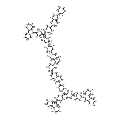 c1ccc(-c2ccc3cc(-c4ccc(N(c5ccc(-c6ccc(-c7ccc8c(-c9cccc(-c%10ccc%11cc(-c%12ccc(N(c%13ccc(-c%14ccc(-c%15cc%16ccccc%16c%16ccccc%15%16)cc%14)cc%13)c%13ccc(-n%14c%15ccccc%15c%15ccccc%15%14)cc%13)cc%12)ccc%11c%10)c9)cccc8c7)cc6)cc5)c5ccc(-n6c7ccccc7c7ccccc76)cc5)cc4)ccc3c2)cc1